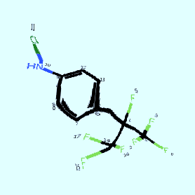 FC(F)(F)C(F)(c1ccc(NCl)cc1)C(F)(F)F